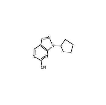 N#Cc1ncc2cnn(C3CCCC3)c2n1